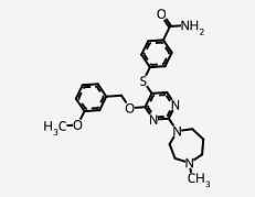 COc1cccc(COc2nc(N3CCCN(C)CC3)ncc2Sc2ccc(C(N)=O)cc2)c1